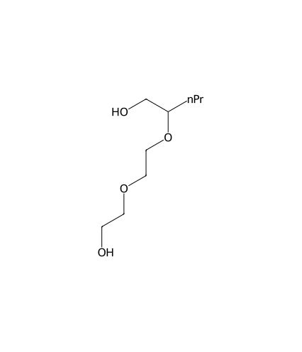 CCCC(CO)OCCOCCO